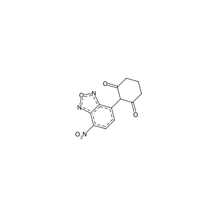 O=C1CCCC(=O)C1c1ccc([N+](=O)[O-])c2nonc12